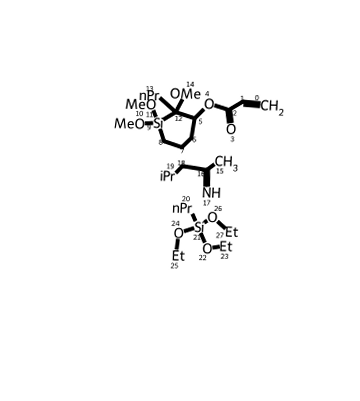 C=CC(=O)OC1CCC[Si](OC)(OC)C1(CCC)OC.CC(=N)CC(C)C.CCC[Si](OCC)(OCC)OCC